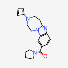 O=C(c1ccc2nc3n(c2c1)CCN(C1=CC=C1)CC3)N1CCCC1